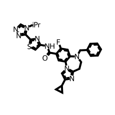 CC(C)n1cnnc1-c1nc(NC(=O)c2cc3c(cc2F)N(Cc2ccccc2)CCc2nc(C4CC4)cn2-3)cs1